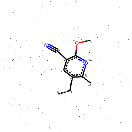 CCc1cc(C#N)c(OC)nc1C